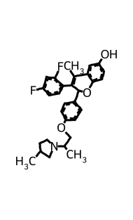 CC1=C(c2ccc(F)cc2F)C(c2ccc(OCC(C)N3CCC(C)C3)cc2)Oc2ccc(O)cc21